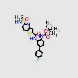 CC(C)(C)OC(=O)Nc1ccc(-c2ccc(F)cc2)cc1NC(=O)c1cc2nc(S(C)(=N)=O)ccc2s1